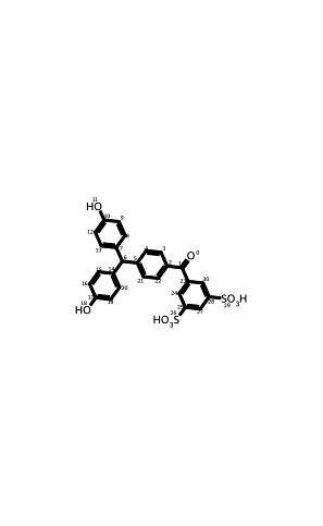 O=C(c1ccc(C(c2ccc(O)cc2)c2ccc(O)cc2)cc1)c1cc(S(=O)(=O)O)cc(S(=O)(=O)O)c1